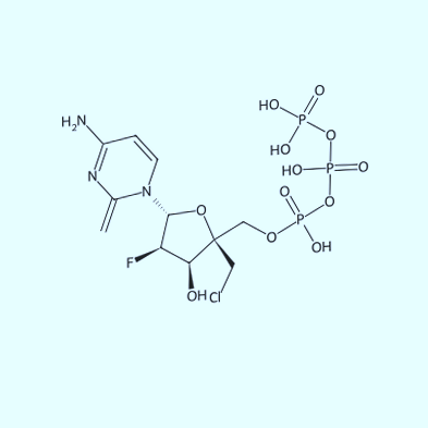 C=C1N=C(N)C=CN1[C@@H]1O[C@](CCl)(COP(=O)(O)OP(=O)(O)OP(=O)(O)O)[C@@H](O)[C@H]1F